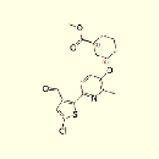 COC(=O)[C@H]1CCC[C@H](Oc2ccc(-c3sc(Cl)cc3C=O)nc2C)C1